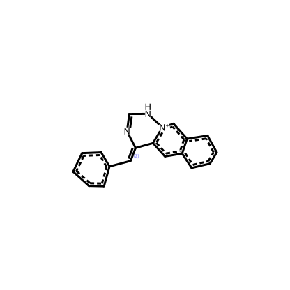 C1=N/C(=C\c2ccccc2)c2cc3ccccc3c[n+]2N1